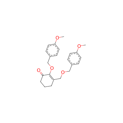 COc1ccc(COCC2=C(OCc3ccc(OC)cc3)C(=O)CCC2)cc1